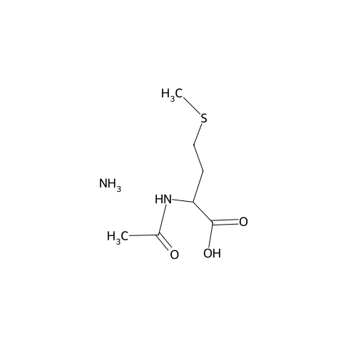 CSCCC(NC(C)=O)C(=O)O.N